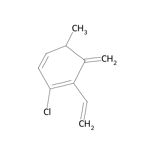 C=CC1=C(Cl)C=CC(C)C1=C